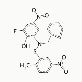 Cc1ccc([N+](=O)[O-])cc1SN(Cc1ccccc1)c1cc([N+](=O)[O-])cc(F)c1O